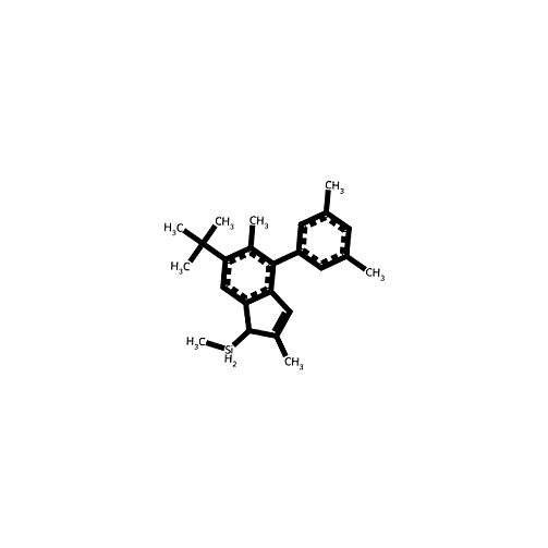 C[SiH2]C1C(C)=Cc2c1cc(C(C)(C)C)c(C)c2-c1cc(C)cc(C)c1